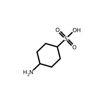 NC1CCC(S(=O)(=O)O)CC1